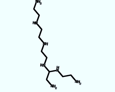 NCCNCCNCCNC(CN)NCCN